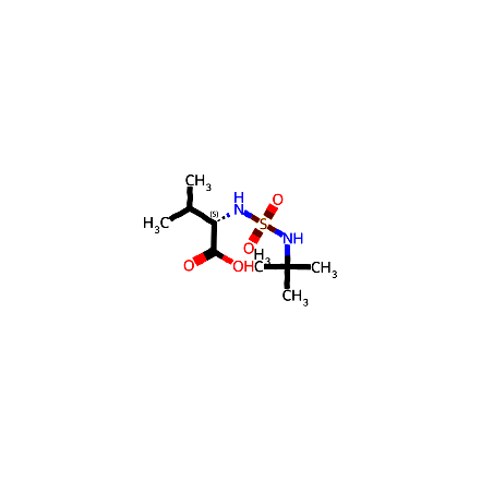 CC(C)[C@H](NS(=O)(=O)NC(C)(C)C)C(=O)O